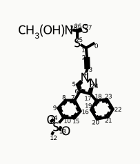 CC(C#Cn1cc(-c2ccc(S(C)(=O)=O)cc2)c(-c2ccccc2)n1)SC(=S)N(C)O